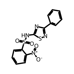 O=[N+]([O-])c1ccccc1S(=O)(=O)Nc1nc(-c2ccccc2)ns1